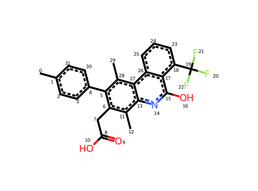 Cc1ccc(-c2c(CC(=O)O)c(C)c3nc(O)c4c(C(F)(F)F)cccc4c3c2C)cc1